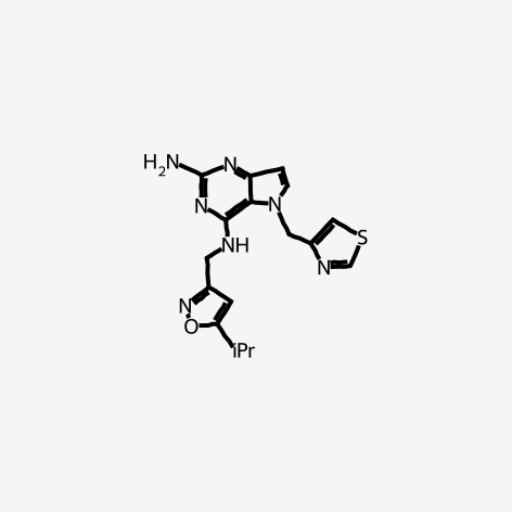 CC(C)c1cc(CNc2nc(N)nc3ccn(Cc4cscn4)c23)no1